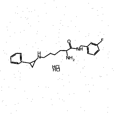 Cl.Cl.NC(CCCCNC1CC1c1ccccc1)C(=O)NCc1cccc(F)c1